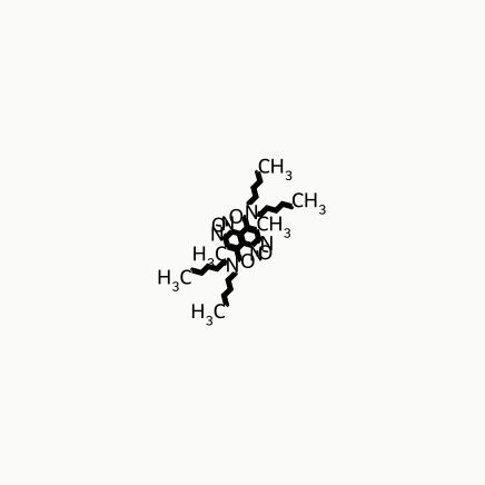 CCCCCCN(CCCCCC)C(=O)c1c(C)c2nonc2c2c(C(=O)N(CCCCCC)CCCCCC)c(C)c3nonc3c12